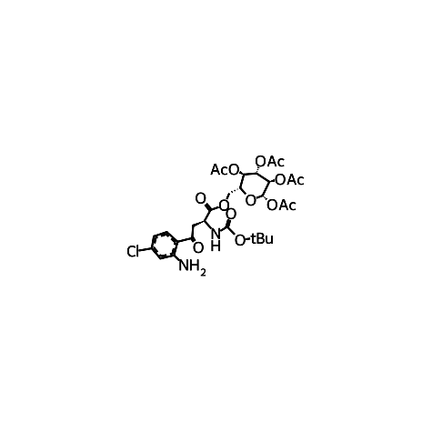 CC(=O)O[C@@H]1O[C@H](COC(=O)[C@H](CC(=O)c2ccc(Cl)cc2N)NC(=O)OC(C)(C)C)[C@@H](OC(C)=O)[C@H](OC(C)=O)[C@H]1OC(C)=O